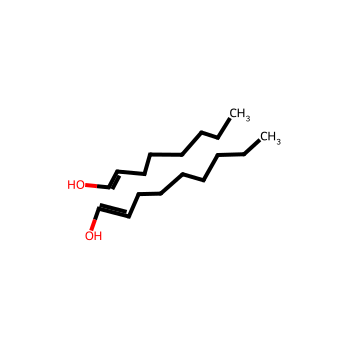 CCCCCCC=CO.CCCCCCCC=CO